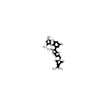 Cc1cc(Cl)cc(-c2c3sc(CN4C(=O)C5C(C4=O)C5(C)C)cc3nn2C)c1OC1CN(C)CC1C